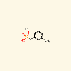 CCOP(=O)(O)Cc1cccc(C)c1